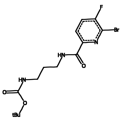 CC(C)(C)OC(=O)NCCCNC(=O)c1ccc(F)c(Br)n1